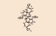 CCCCC1=[C]([Zr]([O]c2ccc(C(F)(F)F)cc2)([O]c2ccc(C(F)(F)F)cc2)[C]2=C(CCCC)C=CC2)CC=C1